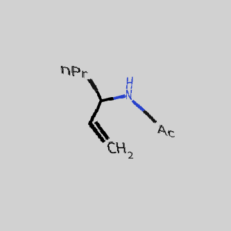 C=CC(CCC)NC(C)=O